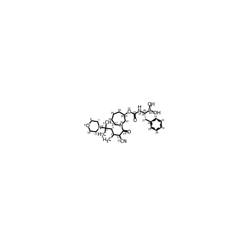 CC(CC(C)(C)N1CCOCC1)C(C#N)C(=O)N1CCCC[C@@H](OC(=O)N[C@@H](Cc2ccccc2)B(O)O)C1